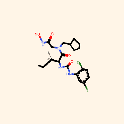 CC[C@H](C)C(NC(=O)Nc1cc(Cl)ccc1Cl)C(=O)N(CC(=O)NO)CC1CCCC1